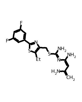 C=C(N)/C=C(N)\N=C(/N)SCc1nc(-c2cc(F)cc(F)c2)sc1CC